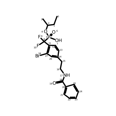 CCC(C)OP(=O)(O)C(F)(F)c1ccc(CCNC(=O)c2ccccc2)cc1Br